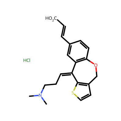 CN(C)CC/C=C1/c2cc(/C=C/C(=O)O)ccc2OCc2ccsc21.Cl